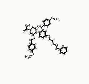 COc1ccc(CO[C@H]2CN(C(=O)O)C[C@@H](OCc3ccc(OC)cc3)[C@H]2c2ccc(OCCCOCc3ccccc3)cc2)cc1